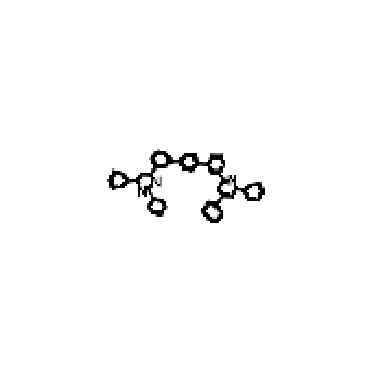 c1ccc(-c2cc(-c3ccccc3)nc(-c3cccc(-c4ccc(-c5cccc(-c6cc(-c7ccccc7)nc(-c7ccccc7)n6)c5)cc4)c3)c2)cc1